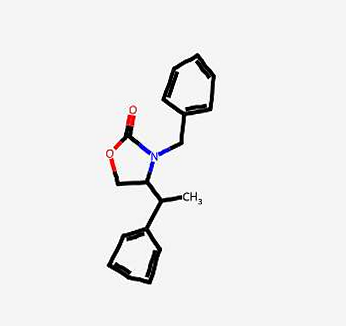 CC(c1ccccc1)C1COC(=O)N1Cc1ccccc1